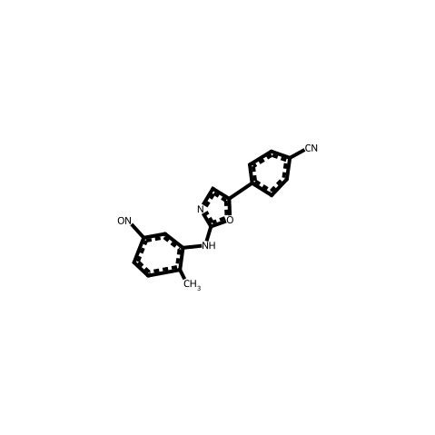 Cc1ccc(N=O)cc1Nc1ncc(-c2ccc(C#N)cc2)o1